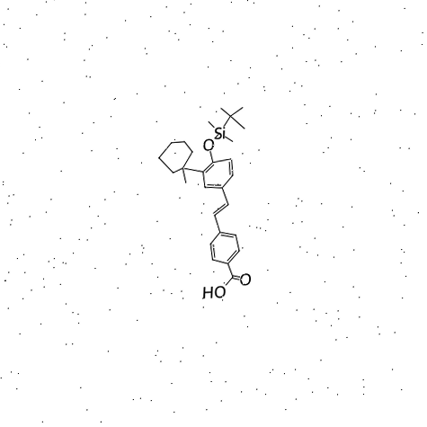 CC1(c2cc(C=Cc3ccc(C(=O)O)cc3)ccc2O[Si](C)(C)C(C)(C)C)CCCCC1